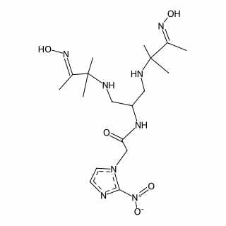 CC(=NO)C(C)(C)NCC(CNC(C)(C)C(C)=NO)NC(=O)Cn1ccnc1[N+](=O)[O-]